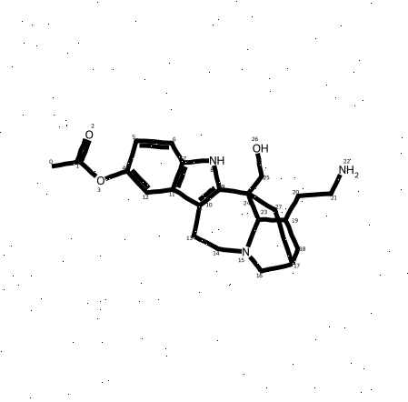 CC(=O)Oc1ccc2[nH]c3c(c2c1)CCN1CC2CC(CCN)C1C3(CO)C2